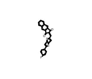 O=C1C(=Cc2cc3sc(-c4ccc(F)cc4)cc3s2)C(=O)c2cc3ccccc3cc21